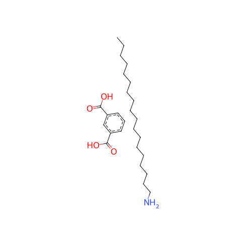 CCCCCCCCCCCCCCCCCCN.O=C(O)c1cccc(C(=O)O)c1